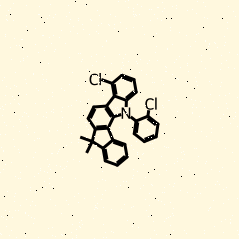 CC1(C)c2ccccc2-c2c1ccc1c3c(Cl)cccc3n(-c3ccccc3Cl)c21